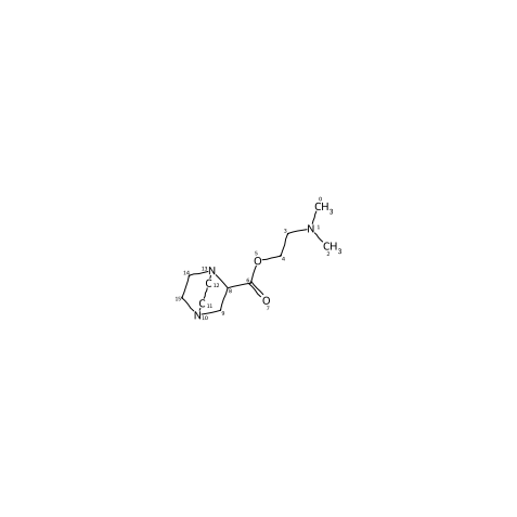 CN(C)CCOC(=O)C1CN2CCN1CC2